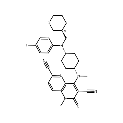 Cn1c(=O)c(C#N)c(N(C)[C@H]2CC[C@@H](N(C[C@@H]3CCCOC3)c3ccc(F)cc3)CC2)c2nc(C#N)ccc21